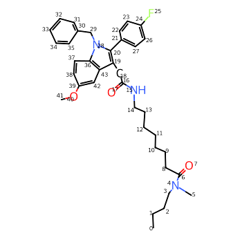 CCCCN(C)C(=O)CCCCCCCNC(=O)Cc1c(-c2ccc(F)cc2)n(Cc2ccccc2)c2ccc(OC)cc12